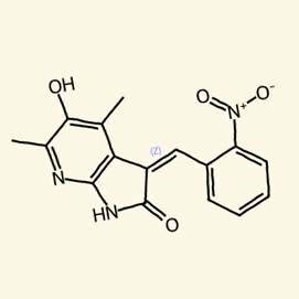 Cc1nc2c(c(C)c1O)/C(=C/c1ccccc1[N+](=O)[O-])C(=O)N2